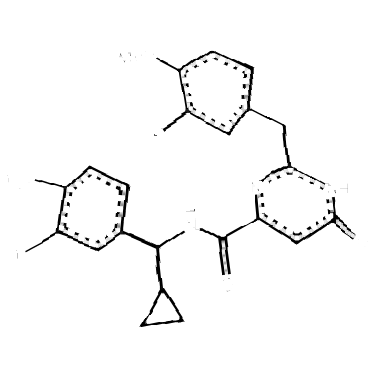 COc1ccc(Cc2nc(C(=O)NC(c3ccc(C(F)(F)F)c(F)c3)C3CC3)cc(=O)[nH]2)cc1F